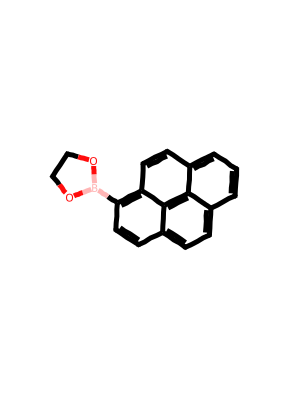 c1cc2ccc3ccc(B4OCCO4)c4ccc(c1)c2c34